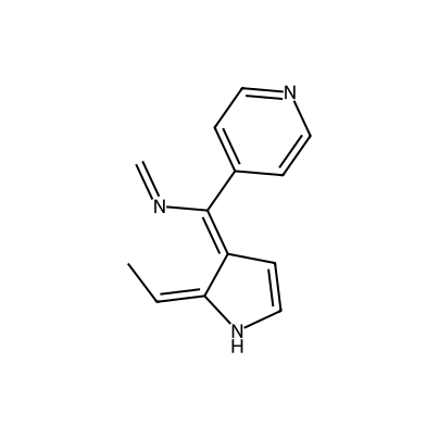 C=N/C(c1ccncc1)=c1/cc[nH]/c1=C/C